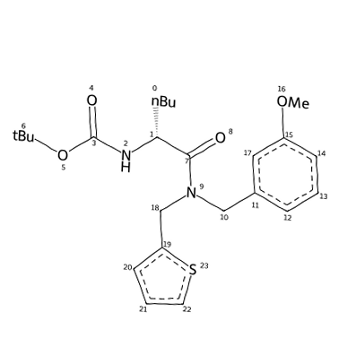 [CH2]CCC[C@@H](NC(=O)OC(C)(C)C)C(=O)N(Cc1cccc(OC)c1)Cc1cccs1